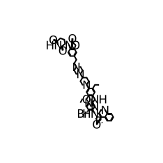 CCOc1cc(N2CCC(N3CCN(CCc4ccc5c(c4)oc(=O)n5C4CCC(=O)NC4=O)CC3)CC2)c(CC)cc1Nc1ncc(Br)c(Nc2cnc3ccccc3c2P(C)(C)=O)n1